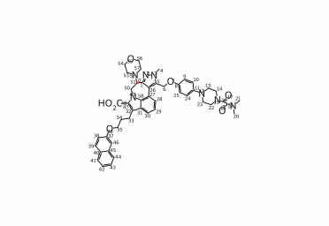 Cc1nn(C)c(COc2ccc(N3CCN(S(=O)(=O)N(C)C)CC3)cc2)c1-c1cccc2c(CCCOc3ccc4ccccc4c3)c(C(=O)O)n(CCN3CCOCC3)c12